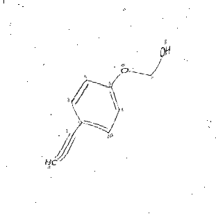 C#Cc1ccc(OCO)cc1